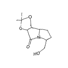 CC1(C)OC2C(=O)N3C(CO)CCC3C2O1